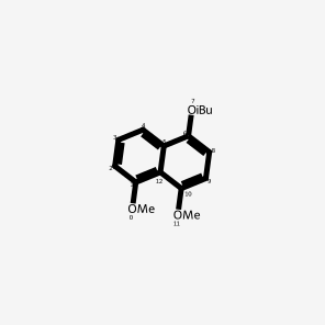 COc1cccc2c(OCC(C)C)ccc(OC)c12